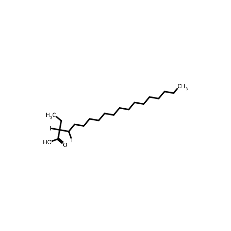 CCCCCCCCCCCCCCCC(I)C(I)(CC)C(=O)O